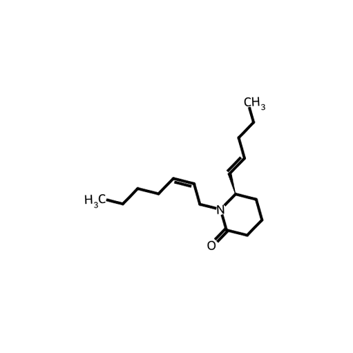 CCC/C=C/[C@H]1CCCC(=O)N1C/C=C\CCCC